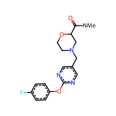 CNC(=O)C1CN(Cc2cnc(Oc3ccc(F)cc3)nc2)CCO1